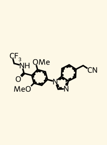 COc1cc(-n2cnc3cc(CC#N)ccc32)cc(OC)c1C(=O)NCC(F)(F)F